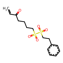 C=CC(=O)CCCCS(=O)(=O)S(=O)(=O)CCc1ccccc1